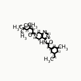 CCC1CC(CC(=O)Nc2ncnc3c2CCN(C(=O)CC(C)CC(C)(C)C)C3)=CC(C)C1